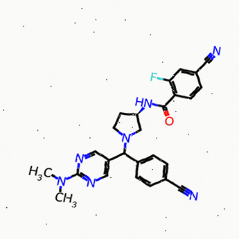 CN(C)c1ncc(C(c2ccc(C#N)cc2)N2CC[C@@H](NC(=O)c3ccc(C#N)cc3F)C2)cn1